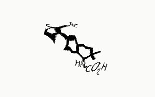 CC(=O)c1sccc1-c1ccc2c(c1)CCC(C)(C)C2NC(=O)O